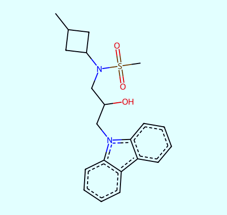 CC1CC(N(CC(O)Cn2c3ccccc3c3ccccc32)S(C)(=O)=O)C1